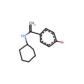 C=C(NC1CCCCC1)c1ccc(Br)cc1